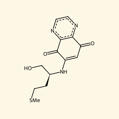 CSCC[C@@H](CO)NC1=CC(=O)c2nccnc2C1=O